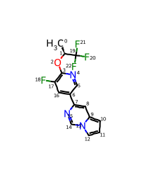 C[C@H](Oc1ncc(-c2cc3cccn3cn2)cc1F)C(F)(F)F